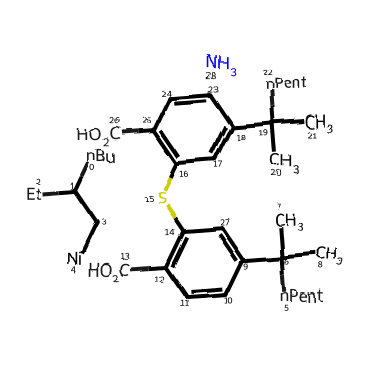 CCCCC(CC)[CH2][Ni].CCCCCC(C)(C)c1ccc(C(=O)O)c(Sc2cc(C(C)(C)CCCCC)ccc2C(=O)O)c1.N